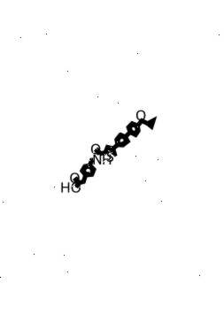 O=C(O)Cc1ccc(CNC(=O)c2cc(-c3ccc(-c4ccc(C(=O)C5CC5)cc4)cc3)cs2)cc1